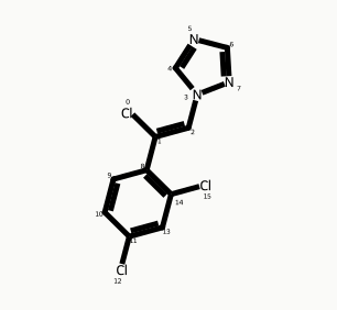 ClC(=Cn1cncn1)c1ccc(Cl)cc1Cl